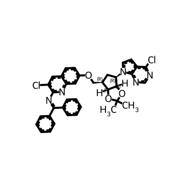 CC1(C)O[C@@H]2[C@@H](COc3ccc4cc(Cl)c(N=C(c5ccccc5)c5ccccc5)nc4c3)C[C@@H](n3ccc4c(Cl)ncnc43)[C@@H]2O1